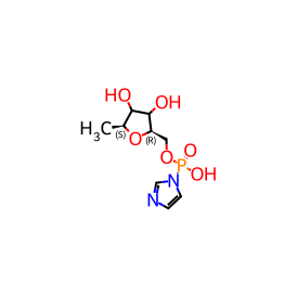 C[C@@H]1O[C@H](COP(=O)(O)n2ccnc2)C(O)C1O